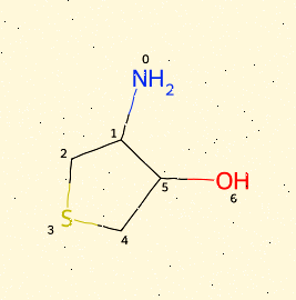 NC1CSCC1O